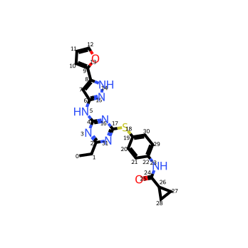 CCc1nc(Nc2cc(-c3ccco3)[nH]n2)nc(Sc2ccc(NC(=O)C3CC3)cc2)n1